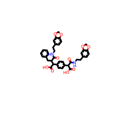 O=C(O)C(C(=O)NCCc1ccc2c(c1)OCO2)c1ccc(C(C(=O)O)C(Cc2ccccc2)C(=O)NCCc2ccc3c(c2)OCO3)cc1